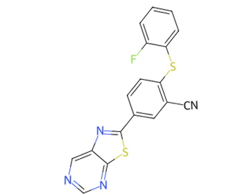 N#Cc1cc(-c2nc3cncnc3s2)ccc1Sc1ccccc1F